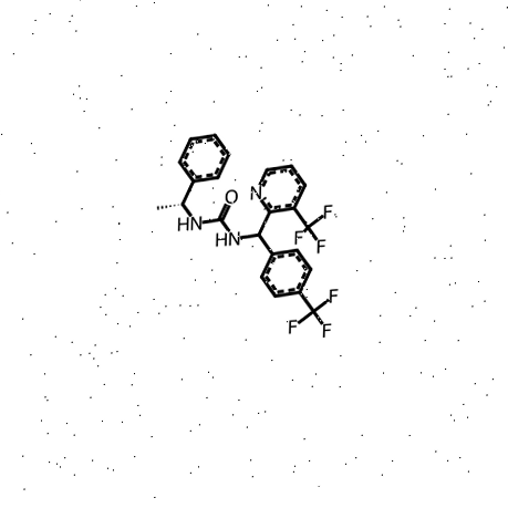 C[C@@H](NC(=O)NC(c1ccc(C(F)(F)F)cc1)c1ncccc1C(F)(F)F)c1ccccc1